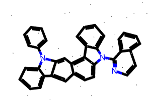 c1ccc(-n2c3ccccc3c3cc4ccc5c(c4cc32)c2ccccc2n5-c2nccc3ccccc23)cc1